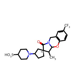 CC1C2Oc3ccc(C(F)(F)F)cc3CN2C(=O)[C@]12CCC(N1CCC(S(=O)(=O)O)CC1)C2